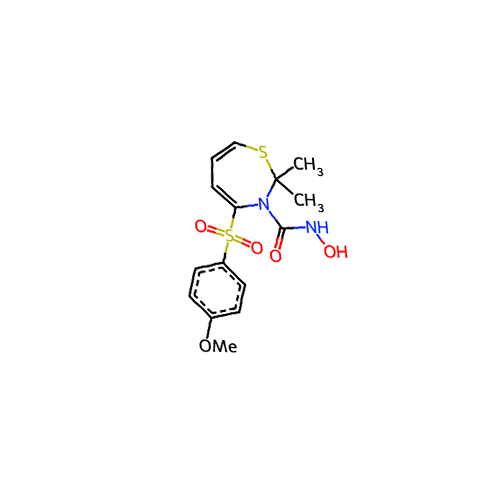 COc1ccc(S(=O)(=O)C2=CC=CSC(C)(C)N2C(=O)NO)cc1